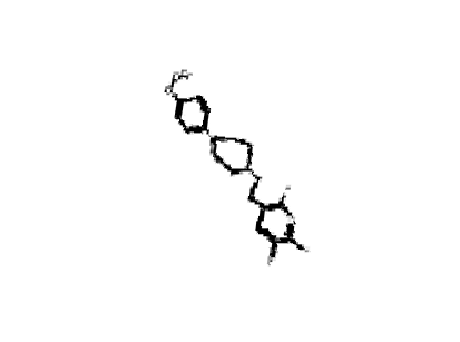 CCCOc1ccc([C@H]2CC[C@H](CCc3cc(F)c(F)nc3F)CC2)cc1